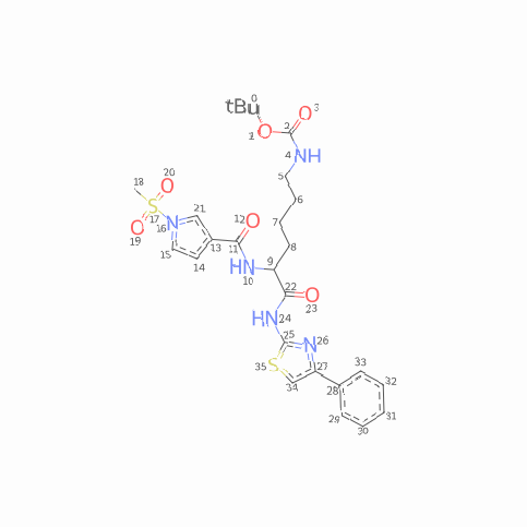 CC(C)(C)OC(=O)NCCCCC(NC(=O)c1ccn(S(C)(=O)=O)c1)C(=O)Nc1nc(-c2ccccc2)cs1